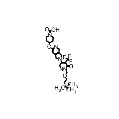 C[Si](C)(C)CCOCn1ncc(N2Cc3cnc(OC4CCN(C(=O)O)CC4)cc3C2)c(C(F)(F)F)c1=O